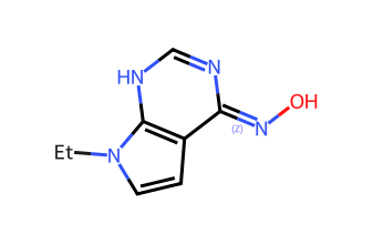 CCn1ccc2/c(=N/O)nc[nH]c21